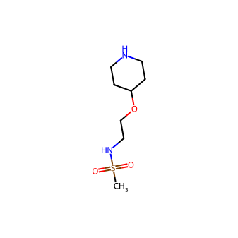 CS(=O)(=O)NCCOC1CCNCC1